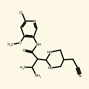 COc1cc(Cl)ncc1NC(=O)C(C(N)N)C1NCC(CC#N)CN1